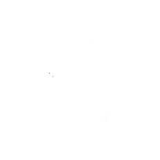 O=Cc1cc(O)ccn1